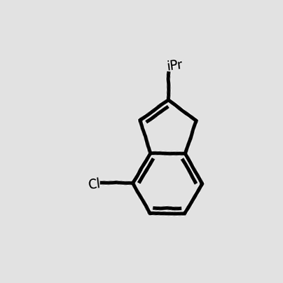 CC(C)C1=Cc2c(Cl)cccc2C1